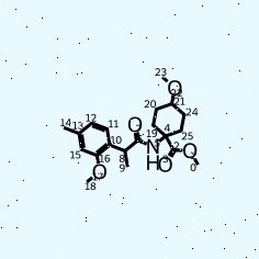 COC(=O)C1(NC(=O)C(C)c2ccc(C)cc2OC)CCC(OC)CC1